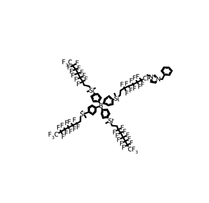 C[Si](C)(CCC(F)(F)C(F)(F)C(F)(F)C(F)(F)C(F)(F)C(F)(F)F)c1ccc([B-](c2ccc([Si](C)(C)CCC(F)(F)C(F)(F)C(F)(F)C(F)(F)C(F)(F)C(F)(F)F)cc2)(c2ccc([Si](C)(C)CCC(F)(F)C(F)(F)C(F)(F)C(F)(F)C(F)(F)C(F)(F)F)cc2)c2ccc([Si](C)(C)CCC(F)(F)C(F)(F)C(F)(F)C(F)(F)C(F)(F)C(F)(F)F)cc2)cc1.C[n+]1ccn(Cc2ccccc2)c1